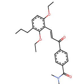 CCCc1ccc(OCC)c(C=CC(=O)c2ccc(C(=O)N(C)C)cc2)c1OCC